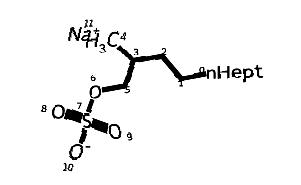 CCCCCCCCCC(C)COS(=O)(=O)[O-].[Na+]